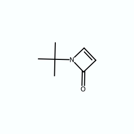 CC(C)(C)N1C=CC1=O